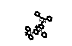 CC1(C)c2ccccc2N(c2ccc3c(c2)C(C)(C)c2cc(-c4nc(-c5ccccc5)cc(-c5ccccc5)n4)ccc2N3c2ccccc2)c2ccccc21